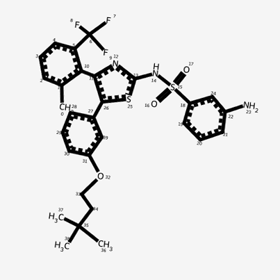 Cc1cccc(C(F)(F)F)c1-c1nc(NS(=O)(=O)c2cccc(N)c2)sc1-c1cccc(OCCC(C)(C)C)c1